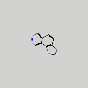 c1cc2cnncc2c2c1CCN2